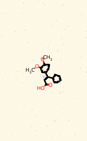 COc1ccc(/C(=C/C(=O)O)c2ccccc2)cc1OC